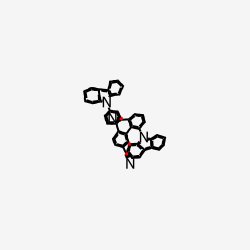 N#Cc1ccc(-c2ccc(-n3c4ccccc4c4ccccc43)cc2)c(-c2c(C#N)cccc2-n2c3ccccc3c3ccccc32)c1